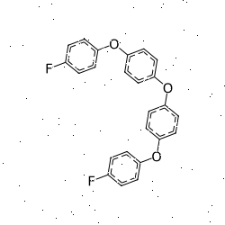 Fc1ccc(Oc2ccc(Oc3ccc(Oc4ccc(F)cc4)cc3)cc2)cc1